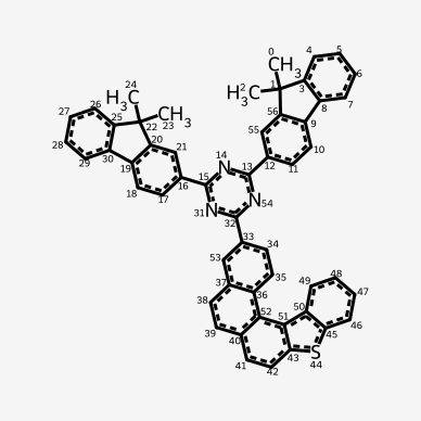 CC1(C)c2ccccc2-c2ccc(-c3nc(-c4ccc5c(c4)C(C)(C)c4ccccc4-5)nc(-c4ccc5c(ccc6ccc7sc8ccccc8c7c65)c4)n3)cc21